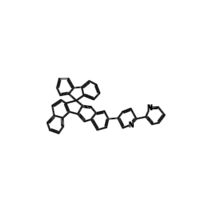 c1ccc(-c2ccc(-c3ccc4cc5c(cc4c3)C3(c4ccccc4-c4ccccc43)c3ccc4ccccc4c3-5)cn2)nc1